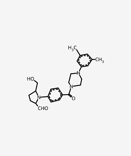 Cc1cc(C)cc(N2CCN(C(=O)c3ccc(N4C(C=O)CCC4CO)cc3)CC2)c1